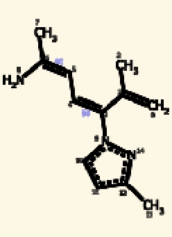 C=C(C)/C(=C\C=C(\C)N)n1ccc(C)n1